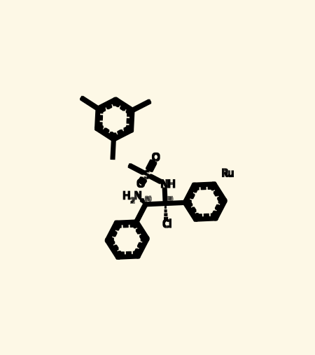 CS(=O)(=O)N[C@@](Cl)(c1ccccc1)[C@@H](N)c1ccccc1.Cc1cc(C)cc(C)c1.[Ru]